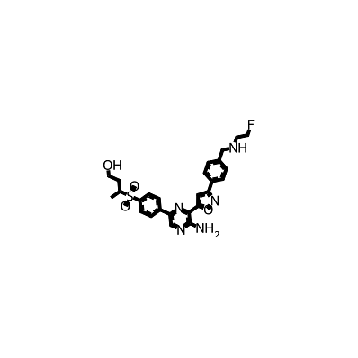 CC(CCO)S(=O)(=O)c1ccc(-c2cnc(N)c(-c3cc(-c4ccc(CNCCF)cc4)no3)n2)cc1